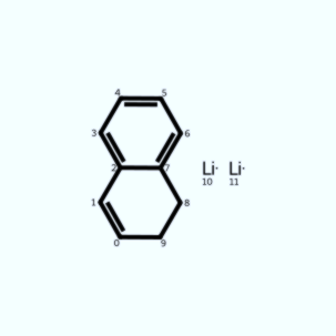 C1=Cc2ccccc2CC1.[Li].[Li]